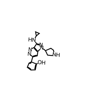 Oc1ccccc1-c1cc2c(nn1)c(NC1CC1)nn2C1CCNCC1